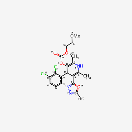 CCc1nnc(C2=C(C)NC(C)=C(OC(=O)OCCOC)C2c2cccc(Cl)c2Cl)o1